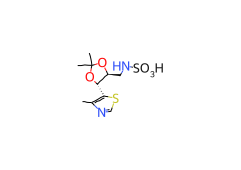 Cc1ncsc1[C@@H]1OC(C)(C)O[C@H]1CNS(=O)(=O)O